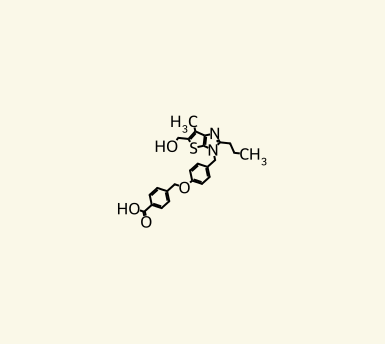 CCCc1nc2c(C)c(CO)sc2n1Cc1ccc(OCc2ccc(C(=O)O)cc2)cc1